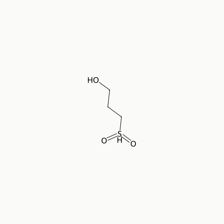 O=[SH](=O)CCCO